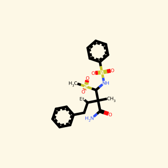 CCC(Cc1ccccc1)C(C)(C(N)=O)C(NS(=O)(=O)c1ccccc1)S(C)(=O)=O